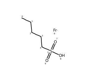 CCCCCS(=O)(=O)O.[Fr]